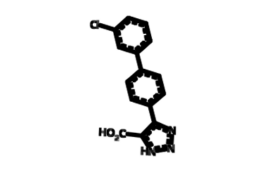 O=C(O)c1[nH]nnc1-c1ccc(-c2cccc(Cl)c2)cc1